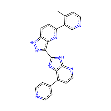 Cc1ccncc1-c1ccc2[nH]nc(-c3nc4c(-c5ccncc5)ccnc4[nH]3)c2n1